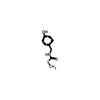 CSC(=S)NCc1ccc(O)cc1